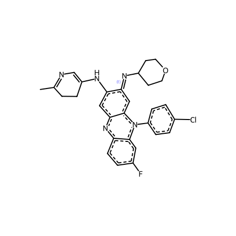 CC1=NC=C(Nc2cc3nc4ccc(F)cc4n(-c4ccc(Cl)cc4)c-3c/c2=N\C2CCOCC2)CC1